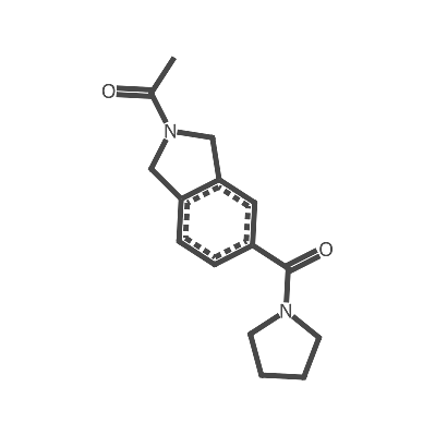 CC(=O)N1Cc2ccc(C(=O)N3CCCC3)cc2C1